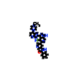 CN1CCN(c2ccnc3[nH]c(-c4n[nH]c5cnc(-c6cncc(NC(=O)c7ccccc7)c6)c(F)c45)nc23)CC1